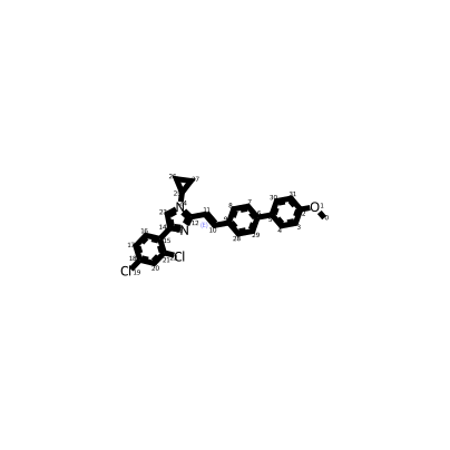 COc1ccc(-c2ccc(/C=C/c3nc(-c4ccc(Cl)cc4Cl)cn3C3CC3)cc2)cc1